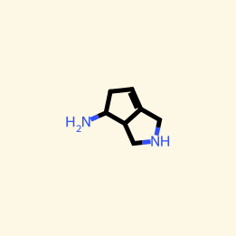 NC1CC=C2CNCC21